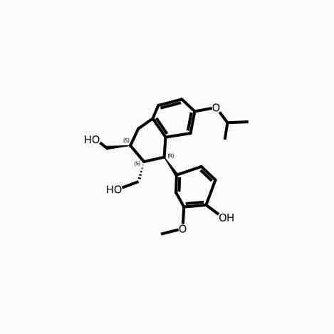 COc1cc([C@@H]2c3cc(OC(C)C)ccc3C[C@H](CO)[C@H]2CO)ccc1O